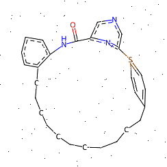 O=C1Nc2ccccc2CCCCCCCCCCCC2=CC=S(C=C2)c2cncc1n2